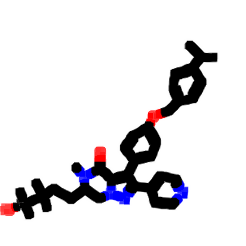 CC(C)c1ccc(COc2ccc(-c3c(-c4ccncc4)nn4c3C(=O)N(C)C(CCC(C)(C)[Si](C)(C)O)C4)cc2)cc1